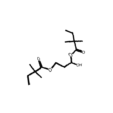 CCC(C)(C)C(=O)OCCC(O)OC(=O)C(C)(C)CC